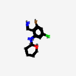 N=Cc1c(Br)cc(Cl)cc1NC1CCCCO1